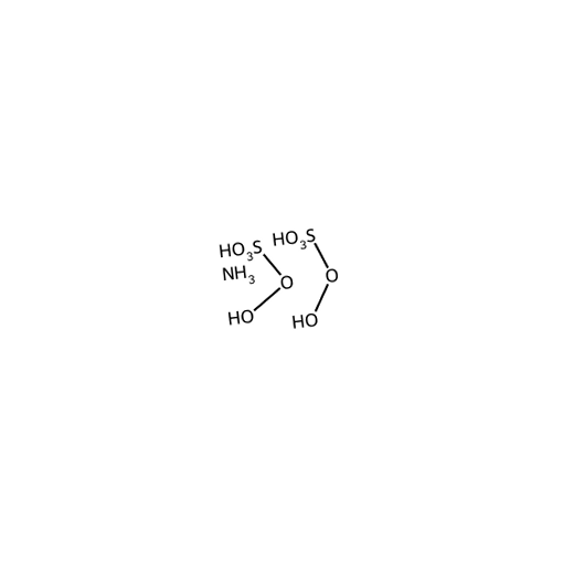 N.O=S(=O)(O)OO.O=S(=O)(O)OO